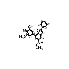 CSNc1cc(-c2cc(C)c(=O)n(C)c2)c2oc(-c3ccccc3)cc2c1